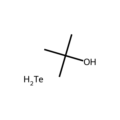 CC(C)(C)O.[TeH2]